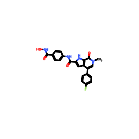 Cn1cc(-c2ccc(F)cc2)c2cc(C(=O)Nc3ccc(C(=O)NO)cc3)[nH]c2c1=O